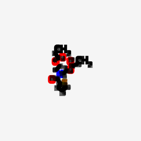 C=CC(=O)OCCN(CCOC(=O)C=C)C(=O)c1cccs1